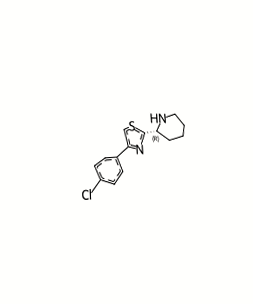 Clc1ccc(-c2csc([C@H]3CCCCN3)n2)cc1